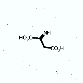 N=C(CC(=O)O)C(=O)O